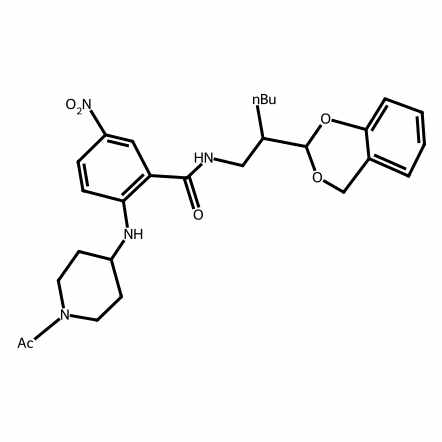 CCCCC(CNC(=O)c1cc([N+](=O)[O-])ccc1NC1CCN(C(C)=O)CC1)C1OCc2ccccc2O1